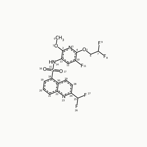 COc1nc(OCC(F)F)c(F)cc1NS(=O)(=O)c1cccc2nc(C(F)F)ccc12